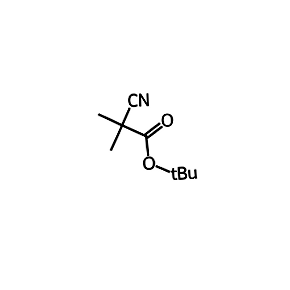 CC(C)(C)OC(=O)C(C)(C)C#N